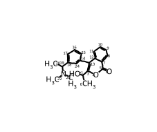 CC(O)c1oc(=O)c2ccccc2c1-c1cccc(C(C)N(C)C)c1